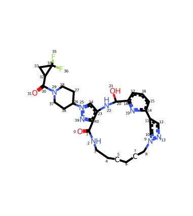 O=C1NCCCCCCn2cc(cn2)-c2cccc(n2)C(O)Nc2cn(C3CCN(C(=O)C4CC4(F)F)CC3)nc21